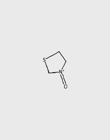 O=[N+]1CCSC1